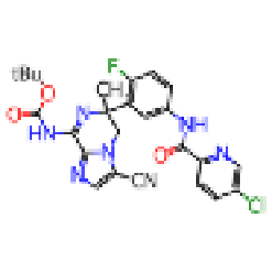 CC(C)(C)OC(=O)NC1=NC(C)(c2cc(NC(=O)c3ccc(Cl)cn3)ccc2F)Cn2c(C#N)cnc21